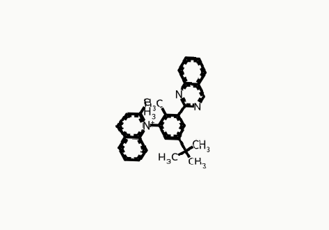 Cc1c(-c2ncc3ccccc3n2)cc(C(C)(C)C)cc1-[n+]1c(C)ccc2ccccc21